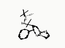 CC(C)(N[S@+]([O-])C(C)(C)C)c1cc2nccn2nc1-c1ccccc1